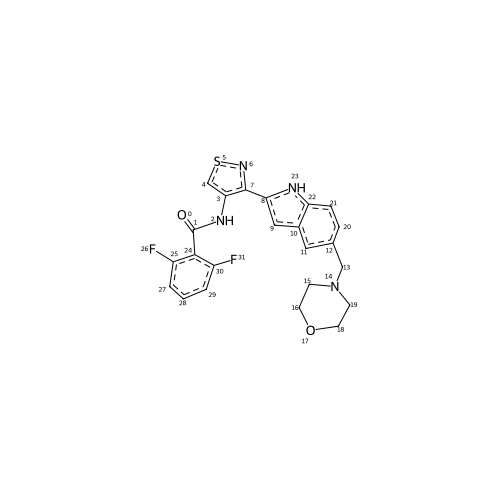 O=C(Nc1csnc1-c1cc2cc(CN3CCOCC3)ccc2[nH]1)c1c(F)cccc1F